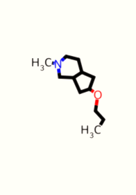 CCCOC1CC2CCN(C)CC2C1